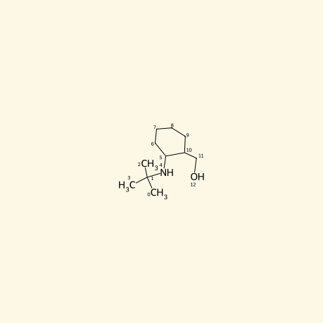 CC(C)(C)NC1CCCCC1CO